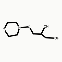 OCC(O)CON1CCOCC1